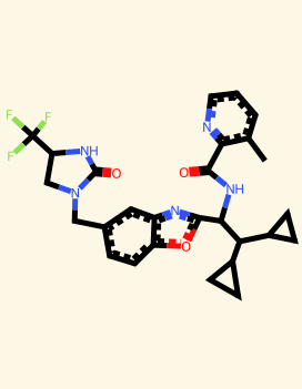 Cc1cccnc1C(=O)NC(c1nc2cc(CN3CC(C(F)(F)F)NC3=O)ccc2o1)C(C1CC1)C1CC1